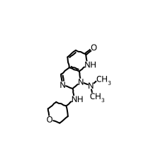 CN(C)N1c2[nH]c(=O)ccc2C=NC1NC1CCOCC1